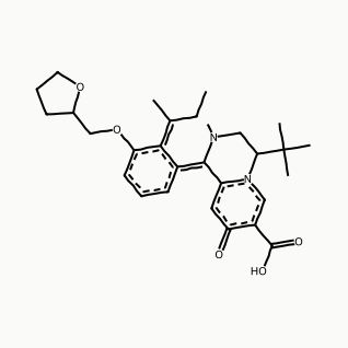 CC/C(C)=c1/c(OCC2CCCO2)ccc/c1=C1\c2cc(=O)c(C(=O)O)cn2C(C(C)(C)C)CN1C